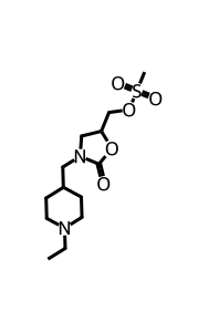 CCN1CCC(CN2CC(COS(C)(=O)=O)OC2=O)CC1